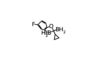 BC(B)(Oc1ccc(F)cc1F)C1CC1